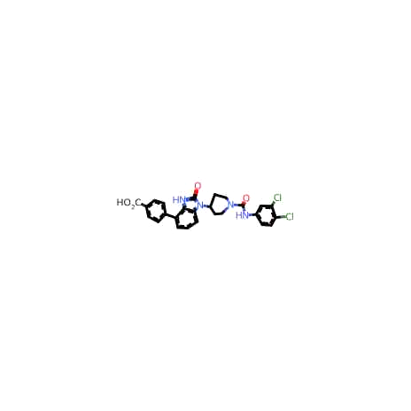 O=C(O)c1ccc(-c2cccc3c2[nH]c(=O)n3C2CCN(C(=O)Nc3ccc(Cl)c(Cl)c3)CC2)cc1